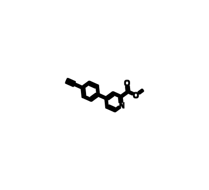 C#Cc1ccc(-c2ccnc(C(=O)OC)c2)cc1